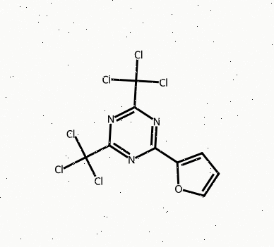 ClC(Cl)(Cl)c1nc(-c2ccco2)nc(C(Cl)(Cl)Cl)n1